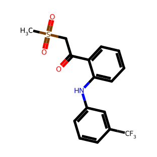 CS(=O)(=O)CC(=O)c1ccccc1Nc1cccc(C(F)(F)F)c1